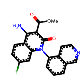 COC(=O)c1c(N)c2ccc(F)cc2n(-c2cccc3cnccc23)c1=O